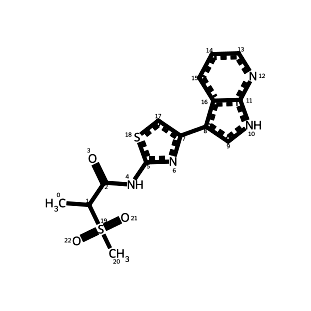 CC(C(=O)Nc1nc(-c2c[nH]c3ncccc23)cs1)S(C)(=O)=O